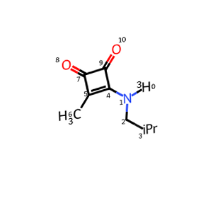 [3H]N(CC(C)C)c1c(C)c(=O)c1=O